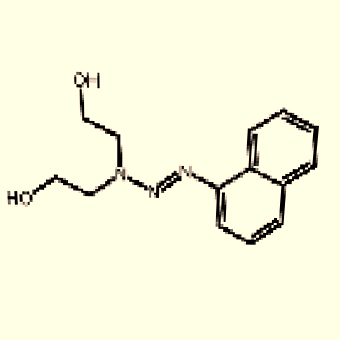 OCCN(CCO)N=Nc1cccc2ccccc12